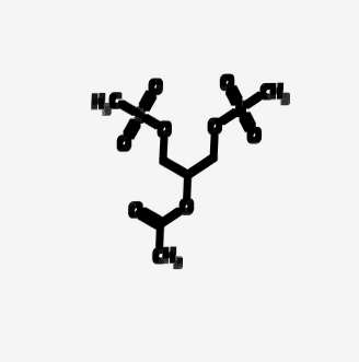 CC(=O)OC(COS(C)(=O)=O)COS(C)(=O)=O